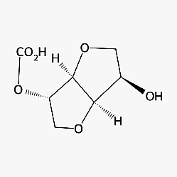 O=C(O)O[C@H]1CO[C@H]2[C@@H]1OC[C@H]2O